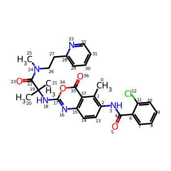 Cc1c(NC(=O)c2ccccc2Cl)ccc2nc(NC(C)(C)C(=O)N(C)CCc3ccccn3)oc(=O)c12